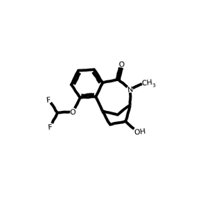 CN1C(=O)c2cccc(OC(F)F)c2C2CC(O)C1C2